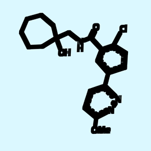 COc1ccc(-c2ccc(Cl)c(C(=O)NCC3(O)CCCCCC3)c2)nn1